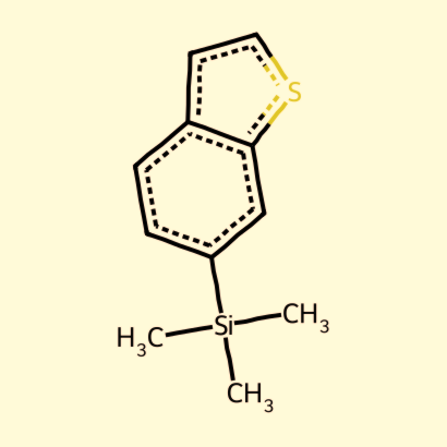 C[Si](C)(C)c1ccc2ccsc2c1